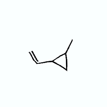 C=CC1CC1C